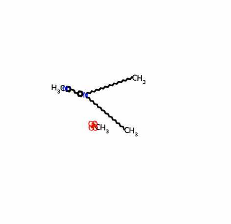 CCCCCCCCCCCCCCCCCCCCCCN(CCCCCCCCCCCCCCCCCCCCCC)c1ccc(C=Cc2cc[n+](C)cc2)cc1.COS(=O)(=O)[O-]